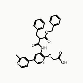 Cc1cc(-c2cnc(OCC(=O)O)c(NC(=O)C(Cc3ccccc3)C(=O)OCc3ccccc3)c2)ccn1